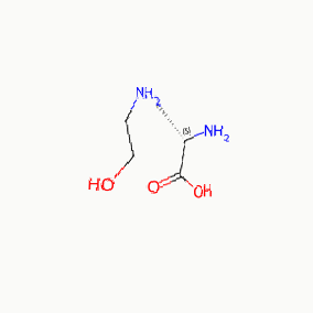 C[C@H](N)C(=O)O.NCCO